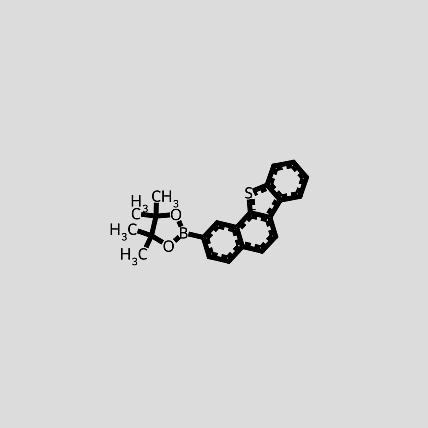 CC1(C)OB(c2ccc3ccc4c5ccccc5sc4c3c2)OC1(C)C